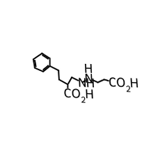 O=C(O)CCNNCC(CCc1ccccc1)C(=O)O